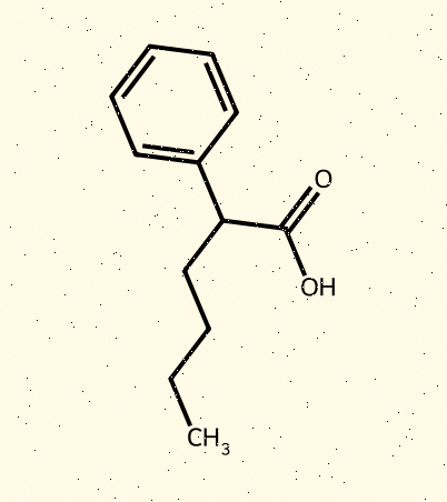 CCCCC(C(=O)O)c1ccccc1